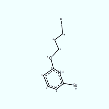 Brc1cccc(OCCCI)n1